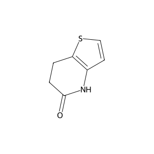 O=C1CCc2sccc2N1